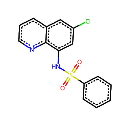 O=S(=O)(Nc1cc(Cl)cc2cccnc12)c1ccccc1